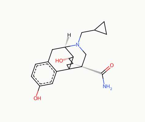 NC(=O)[C@@H]1CC23CCN(CC4CC4)[C@H](Cc4ccc(O)cc42)[C@]3(O)C1